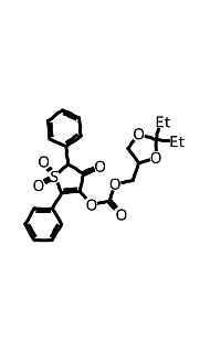 CCC1(CC)OCC(COC(=O)OC2=C(c3ccccc3)S(=O)(=O)C(c3ccccc3)C2=O)O1